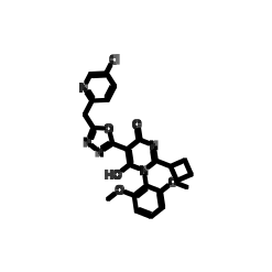 COc1cccc(OC)c1-n1c(C2CCC2)nc(=O)c(-c2nnc(Cc3ccc(Cl)cn3)o2)c1O